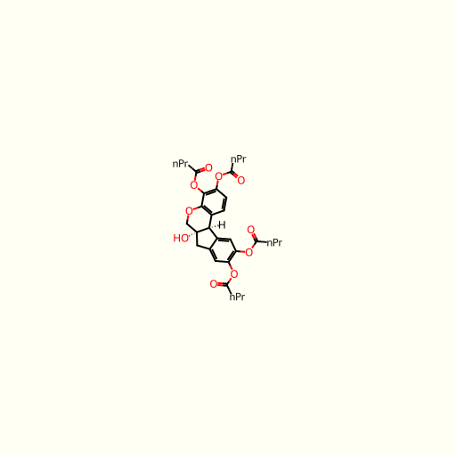 CCCC(=O)Oc1cc2c(cc1OC(=O)CCC)[C@@H]1c3ccc(OC(=O)CCC)c(OC(=O)CCC)c3OC[C@]1(O)C2